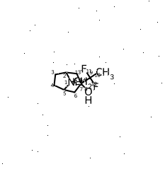 [CH2-][NH+]1C2CCC1CC(O)(C(C)(F)F)C2